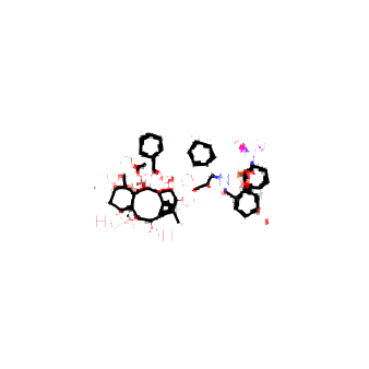 COc1ccc(C2OC(C(=O)O[C@H]3C[C@@]4(O)[C@@H](OC(=O)c5ccccc5)[C@@H]5[C@]6(OC(C)=O)CO[C@@H]6C[C@H](O)[C@@]5(C)C(=O)[C@H](O)C(=C3C)C4(C)C)[C@H](c3ccccc3)N2Sc2ccccc2[N+](=O)[O-])c(OC)c1